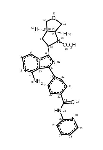 Nc1nccn2c([C@@H]3C[C@H]4COC[C@H]4N3C(=O)O)nc(-c3ccc(C(=O)Nc4ccccn4)cc3)c12